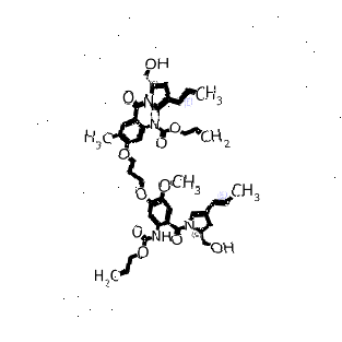 C=CCOC(=O)Nc1cc(OCCCOc2cc(NC(=O)OCC=C)c(C(=O)N3C=C(/C=C/C)C[C@H]3CO)cc2OC)c(C)cc1C(=O)N1C=C(/C=C/C)C[C@H]1CO